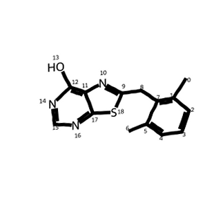 Cc1cccc(C)c1Cc1nc2c(O)ncnc2s1